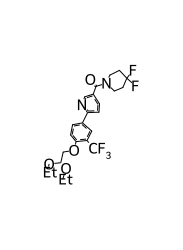 CCOC(COc1ccc(-c2ccc(C(=O)N3CCC(F)(F)CC3)cn2)cc1C(F)(F)F)OCC